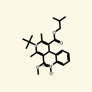 COC(=O)C1=C(C)N(C(C)(C)C)C(C)=C(C(=O)OCC(C)C)C1c1ccccc1[N+](=O)[O-]